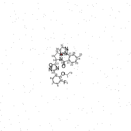 CCOc1c(F)cccc1-c1noc(C2CCCN2C(=O)c2ccc(C)cc2-n2nccn2)n1